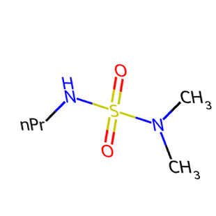 [CH2]CCNS(=O)(=O)N(C)C